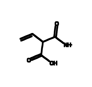 C=CC(C([NH])=O)C(=O)O